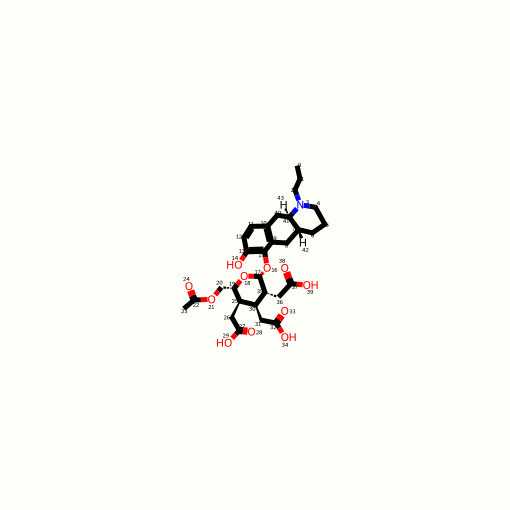 CCCN1CCC[C@@H]2Cc3c(ccc(O)c3O[C@@H]3O[C@@H](COC(C)=O)[C@H](CC(=O)O)[C@H](CC(=O)O)[C@H]3CC(=O)O)C[C@H]21